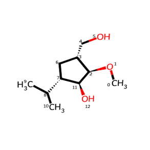 CO[C@@H]1[C@@H](CO)C[C@@H](C(C)C)[C@@H]1O